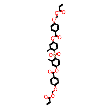 C=CC(=O)OCOc1ccc(C(=O)Oc2ccc(S(=O)(=O)c3ccc(OC(=O)c4ccc(OCOC(=O)C=C)cc4)cc3C)c(C)c2)cc1